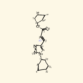 O=C(/C=C/c1cn(C2CCCCC2)nn1)OC1CCCC1